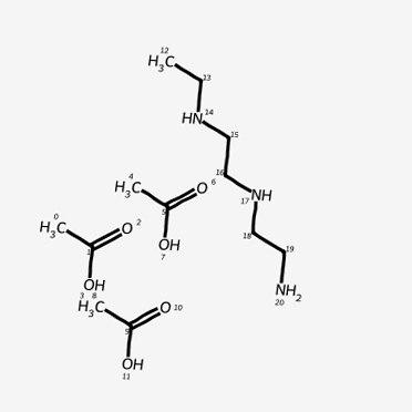 CC(=O)O.CC(=O)O.CC(=O)O.CCNCCNCCN